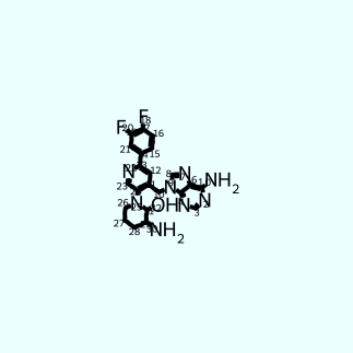 Nc1ncnc2c1ncn2Cc1cc(-c2ccc(F)c(F)c2)ncc1N1CCCC(N)C1O